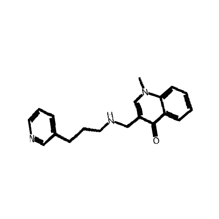 Cn1cc(CNCCCc2cccnc2)c(=O)c2ccccc21